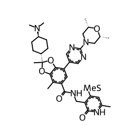 CSc1cc(C)[nH]c(=O)c1CNC(=O)c1cc(-c2cnc(N3C[C@@H](C)O[C@@H](C)C3)nc2)c2c(c1C)OC(C)([C@H]1CC[C@H](N(C)C)CC1)O2